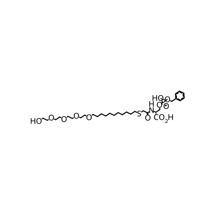 O=C(CSCCCCCCCCCCCOCCOCCOCCOCCO)N[C@@H](COP(=O)(O)OCc1ccccc1)C(=O)O